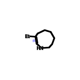 CC/C1=C/NCCCCCC1